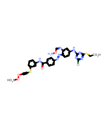 NO/C=N\c1cc(Nc2nc(Cl)nc(SCC(=O)O)n2)ccc1N=Nc1ccc(C(=O)Nc2cccc(SC#COOS(=O)(=O)O)c2)cc1